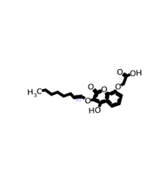 CCCCCC/C=C/Oc1c(O)c2cccc(OCC(=O)O)c2oc1=O